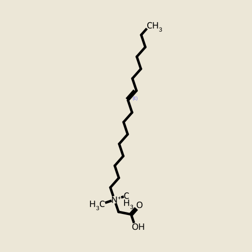 CCCCCC/C=C/CCCCCCCC[N+](C)(C)CC(=O)O